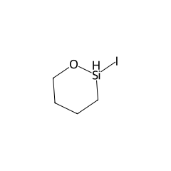 I[SiH]1CCCCO1